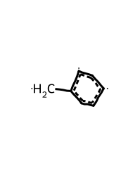 [CH2]c1[c]c[c]cc1